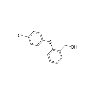 OCc1ccccc1Sc1ccc(Cl)cc1